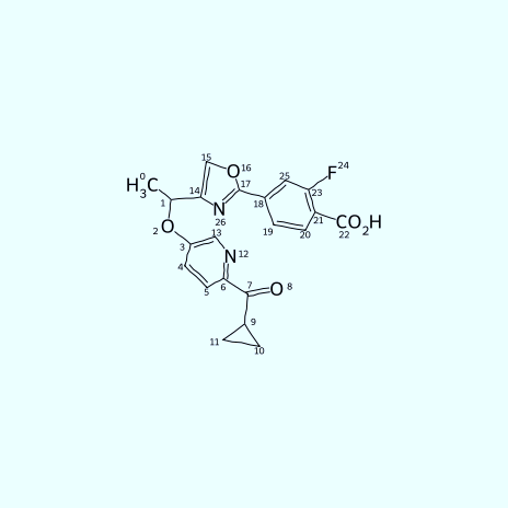 CC(Oc1ccc(C(=O)C2CC2)nc1)c1coc(-c2ccc(C(=O)O)c(F)c2)n1